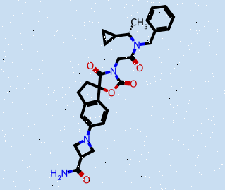 C[C@@H](C1CC1)N(Cc1ccccc1)C(=O)CN1C(=O)OC2(CCc3cc(N4CC(C(N)=O)C4)ccc32)C1=O